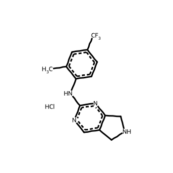 Cc1cc(C(F)(F)F)ccc1Nc1ncc2c(n1)CNC2.Cl